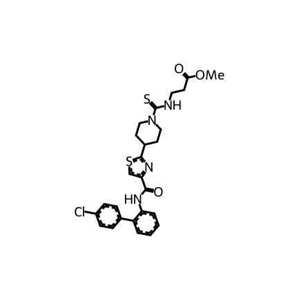 COC(=O)CCNC(=S)N1CCC(c2nc(C(=O)Nc3ccccc3-c3ccc(Cl)cc3)cs2)CC1